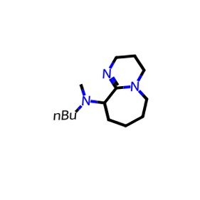 CCCCN(C)C1CCCCN2CCCN=C12